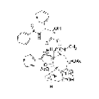 CC(=O)O[C@H]1C(=O)[C@@]2(C)[C@H]([C@H](OC(=O)c3ccccc3)[C@]3(O)C[C@H](OC(=O)[C@H](O)C(NC(=O)c4ccccc4)c4ccccc4)C(C)=C1C3(C)C)[C@]1(OC(C)=O)CC[C@@H]1C[C@@H]2O